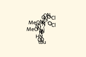 COc1ncc(-c2nc3c(n2CCCn2cc(CNC(=O)OC(C)(C)C)nn2)[C@@H](c2ccc(Cl)cc2)N(c2cc(Cl)cn(C)c2=O)C3=O)c(OC)n1